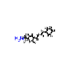 Cc1cc(C(C)(C)N)ccc1/C=C/C=C/c1ccccc1